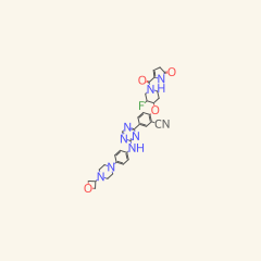 N#Cc1cc(-c2ncnc(Nc3ccc(N4CCN(C5COC5)CC4)cc3)n2)ccc1OC1CCN(C(=O)C2=CCC(=O)N2)CC1F